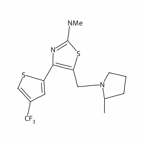 CNc1nc(-c2cc(C(F)(F)F)cs2)c(CN2CCCC2C)s1